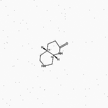 O=C1CC[C@H]2CCNC[C@H]2N1